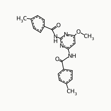 COc1cc(NC(=O)c2ccc(C)cc2)nc(NC(=O)c2ccc(C)cc2)n1